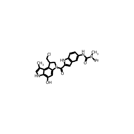 Cc1c[nH]c2c(O)cc3c(c12)C(CCl)CN3C(=O)c1cc2cc(NC(=O)N(C)C(C)C)ccc2[nH]1